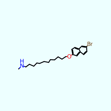 CNCCCCCCCCCCCCOc1ccc2cc(Br)ccc2c1